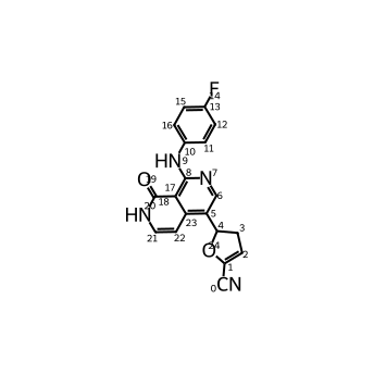 N#CC1=CCC(c2cnc(Nc3ccc(F)cc3)c3c(=O)[nH]ccc23)O1